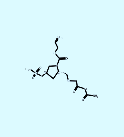 C=CCOC(=O)N1C[C@H](OS(C)(=O)=O)C[C@H]1COCC(=O)NC(N)=O